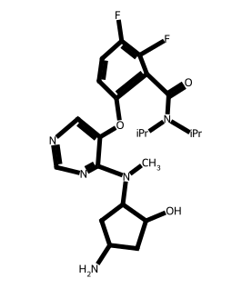 CC(C)N(C(=O)c1c(Oc2cncnc2N(C)C2CC(N)CC2O)ccc(F)c1F)C(C)C